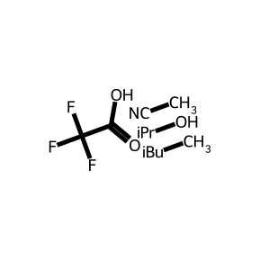 CC#N.CC(C)O.CCC(C)C.O=C(O)C(F)(F)F